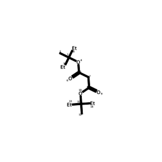 CCC(C)(CC)OC(=O)CC(=O)OC(C)(CC)CC